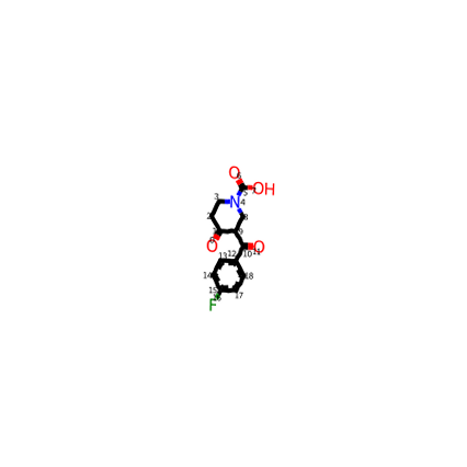 O=C1CCN(C(=O)O)CC1C(=O)c1ccc(F)cc1